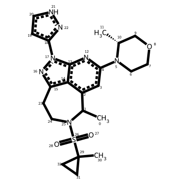 CC1c2cc(N3CCOC[C@H]3C)nc3c2c(nn3-c2cc[nH]n2)CCN1S(=O)(=O)C1(C)CC1